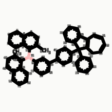 Cc1ccc2ccccc2c1B(c1cccc(-c2ccc(C3(c4ccccc4)C4=C(C=CC=CC4)c4ccccc43)cc2)c1)c1c(C)ccc2ccccc12